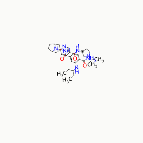 CCC(CC)Nc1cc(C(=O)NC2CC3CCC(C2)N3c2ccc(C(=O)N[C@@H]3CCN(C(C)C)C3)cn2)ccc1C(N)=O